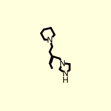 CC=C(CCN1CCCCC1)CN1CCNC1